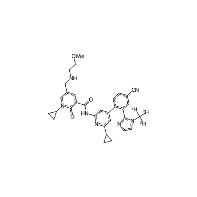 [2H]C([2H])([2H])n1ccnc1-c1cc(C#N)ccc1-c1cc(NC(=O)c2cc(CNCCOC)cn(C3CC3)c2=O)nc(C2CC2)c1